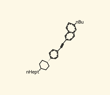 CCCCCCC[C@H]1CC[C@H](c2ccc(C#Cc3ccc4cc(CCCC)ccc4c3)cc2)CC1